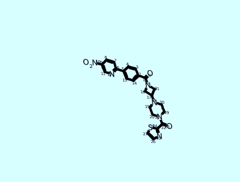 O=C(c1ccc(-c2ccc([N+](=O)[O-])cn2)cc1)N1CC(N2CCN(C(=O)c3nccs3)CC2)C1